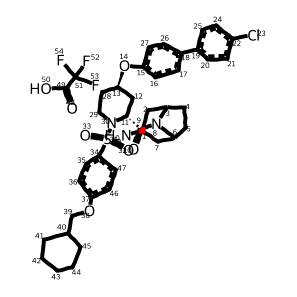 NC1CC2CCC(C1)N2C(=O)[C@H]1C[C@H](Oc2ccc(-c3ccc(Cl)cc3)cc2)CCN1S(=O)(=O)c1ccc(OCC2CCCCC2)cc1.O=C(O)C(F)(F)F